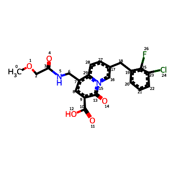 COCC(=O)NCc1cc(C(=O)O)c(=O)n2cc(Cc3cccc(Cl)c3F)ccc12